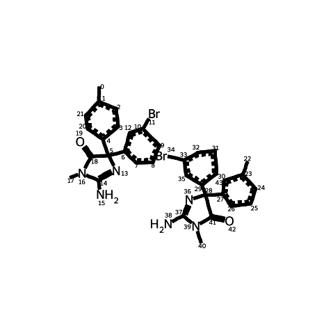 Cc1ccc(C2(c3cccc(Br)c3)N=C(N)N(C)C2=O)cc1.Cc1cccc(C2(c3cccc(Br)c3)N=C(N)N(C)C2=O)c1